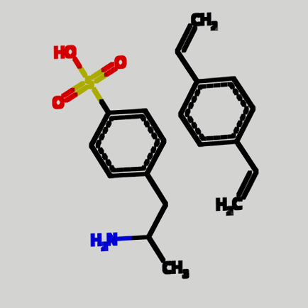 C=Cc1ccc(C=C)cc1.CC(N)Cc1ccc(S(=O)(=O)O)cc1